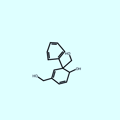 OCC1=CC(CO)(c2ccccc2)C(O)C=C1